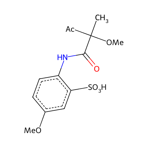 COc1ccc(NC(=O)C(C)(OC)C(C)=O)c(S(=O)(=O)O)c1